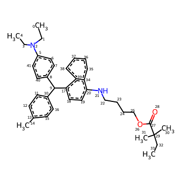 CCN(CC)c1ccc(C(c2ccc(C)cc2)c2ccc(NCCCCOC(=O)C(C)(C)CC)c3ccccc23)cc1